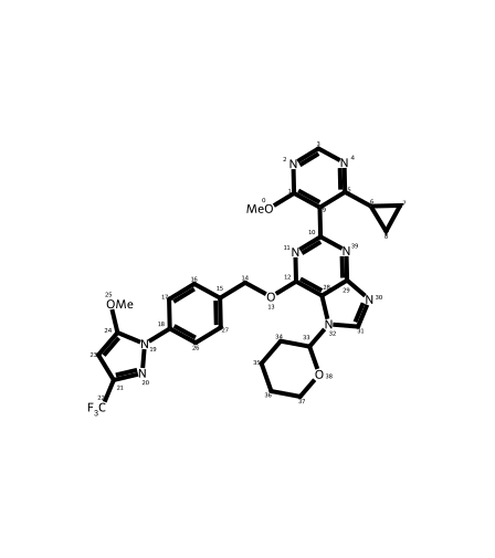 COc1ncnc(C2CC2)c1-c1nc(OCc2ccc(-n3nc(C(F)(F)F)cc3OC)cc2)c2c(ncn2C2CCCCO2)n1